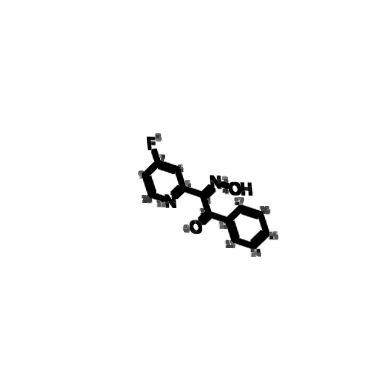 O=C(C(=NO)c1cc(F)ccn1)c1ccccc1